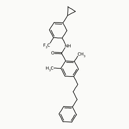 Cc1cc(CCCc2ccccc2)cc(C)c1C(=O)NC1CC(C2CC2)=CC=C1C(F)(F)F